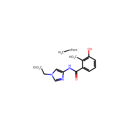 CCCCCC.CCOC(=O)Cn1cnc(NC(=O)c2cccc(O)c2C(=O)O)c1